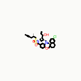 C=C[C@H](O)[C@@H]1CC[C@H]1CN1C[C@@]2(CCCc3cc(Cl)ccc32)COc2ccc(C(=O)/N=[SH](=O)/C[C@@H](C)CC#CC)cc21